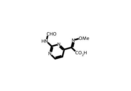 CON=C(C(=O)O)c1ccnc(NC=O)n1